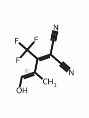 C/C(=C\O)C(=C(C#N)C#N)C(F)(F)F